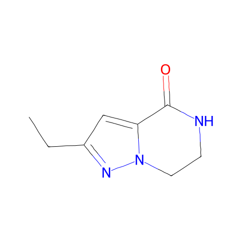 CCc1cc2n(n1)CCNC2=O